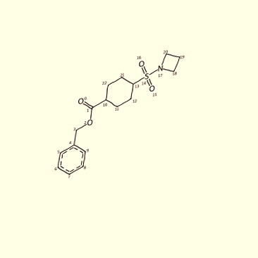 O=C(OCc1ccccc1)C1CCC(S(=O)(=O)N2CCC2)CC1